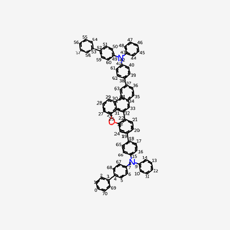 c1ccc(-c2ccc(N(c3ccccc3)c3ccc(-c4ccc5c(c4)Oc4cccc6c4c-5cc4ccc(-c5ccc(N(c7ccccc7)c7ccc(-c8ccccc8)cc7)cc5)cc46)cc3)cc2)cc1